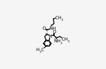 CCCCNC(=O)[C@H]1Cc2cc(C)ccc2N1C(=O)[C@@H](N)CC